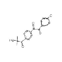 CC(C)(O)C(=O)c1ccc(C(=O)C(=O)c2ccc(Cl)cc2)cc1